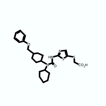 O=C(O)CSc1cnc(NC(=O)N(C2CCCCC2)C2CCC(COc3ccccc3)CC2)s1